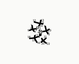 CC(C)(C)B(P(C(C)(C)C)C(C)(C)C)P(C(C)(C)C)C(C)(C)C